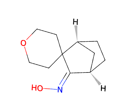 O/N=C1/[C@@H]2CC[C@@H](C2)C12CCOCC2